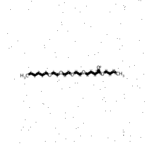 CCCCCCOCCOCCOCCOCCCC(=O)OCCCC